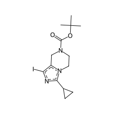 CC(C)(C)OC(=O)N1CCn2c(C3CC3)nc(I)c2C1